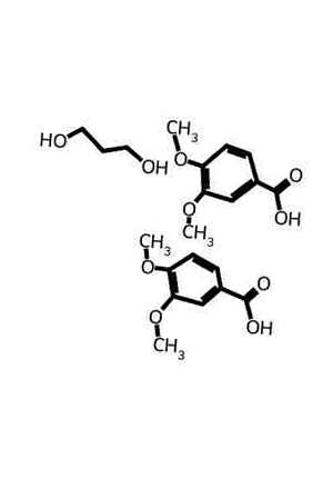 COc1ccc(C(=O)O)cc1OC.COc1ccc(C(=O)O)cc1OC.OCCCO